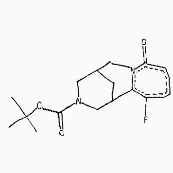 CC(C)(C)OC(=O)N1CC2CC(C1)c1c(F)ccc(=O)n1C2